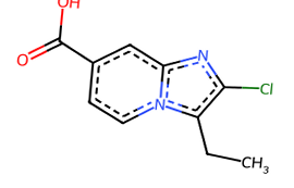 CCc1c(Cl)nc2cc(C(=O)O)ccn12